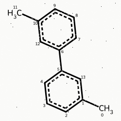 Cc1[c]ccc(-c2cc[c]c(C)c2)c1